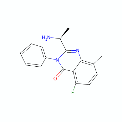 Cc1ccc(F)c2c(=O)n(-c3ccccc3)c([C@H](C)N)nc12